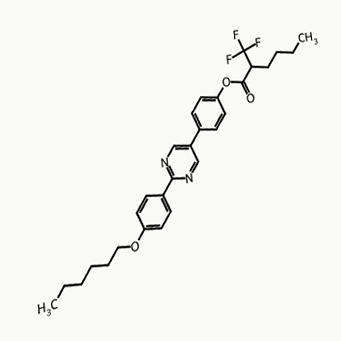 CCCCCCOc1ccc(-c2ncc(-c3ccc(OC(=O)C(CCCC)C(F)(F)F)cc3)cn2)cc1